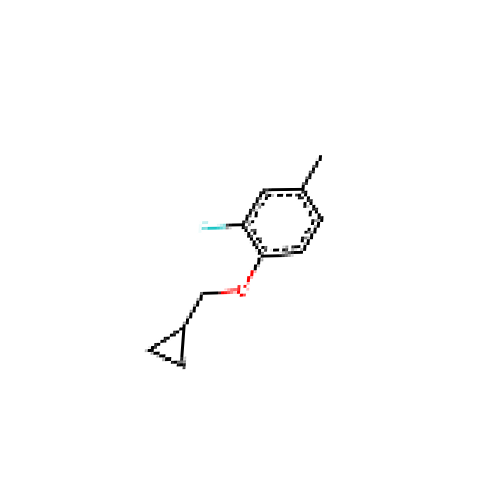 Cc1ccc(OCC2CC2)c(F)c1